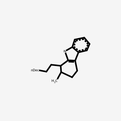 CCCCCCCCCCCCC1C2=C(CCC1C)c1ccccc1[N]2